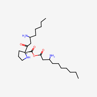 CCCCCCCC(N)CC(=O)OC(=O)[C@]1(C(=O)CC(N)CCCCC)CCCN1